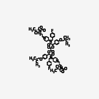 CC(C)COc1ccc(C(OC(=O)C(=O)OC(C(=O)N(Cc2ccc(F)cc2)C2CCN(CCCN3C(=O)OC[C@H]3C(C)C)CC2)c2ccc(OCC(C)C)cc2)C(=O)N(Cc2ccc(F)cc2)C2CCN(CCCN3C(=O)OC[C@H]3C(C)C)CC2)cc1